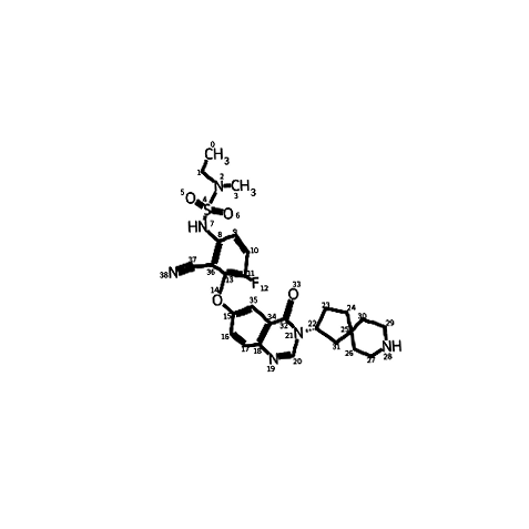 CCN(C)S(=O)(=O)Nc1ccc(F)c(Oc2ccc3ncn([C@@H]4CCC5(CCNCC5)C4)c(=O)c3c2)c1C#N